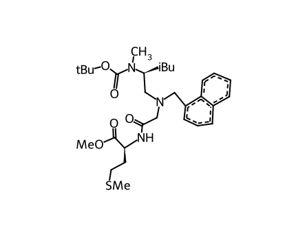 CCC(C)[C@@H](CN(CC(=O)N[C@@H](CCSC)C(=O)OC)Cc1cccc2ccccc12)N(C)C(=O)OC(C)(C)C